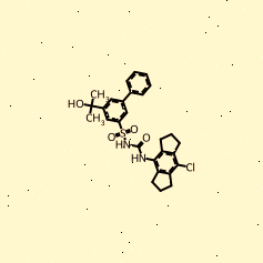 CC(C)(O)c1cc(-c2ccccc2)cc(S(=O)(=O)NC(=O)Nc2c3c(c(Cl)c4c2CCC4)CCC3)c1